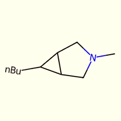 CCCCC1C2CN(C)CC12